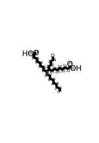 CCCCCCCC/C=C(/CCCCCCCC(=O)O)C(CCCCC)CCCCCCCC(=O)O